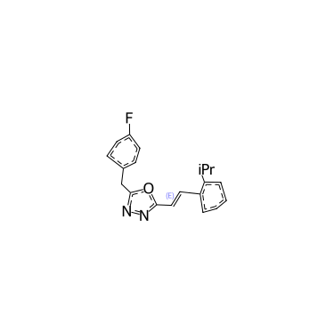 CC(C)c1ccccc1/C=C/c1nnc(Cc2ccc(F)cc2)o1